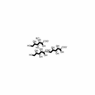 O=C([O-])[C@H](O)[C@@H](O)[C@H](O)[C@H](O)CO.O=C([O-])[C@H](O)[C@@H](O)[C@H](O)[C@H](O)CO.O=C([O-])[C@H](O)[C@@H](O)[C@H](O)[C@H](O)CO.[Bi+3]